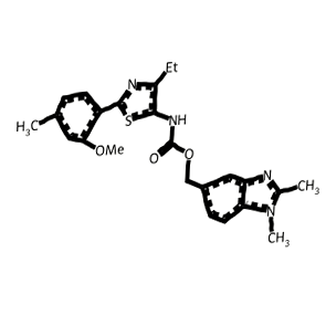 CCc1nc(-c2ccc(C)cc2OC)sc1NC(=O)OCc1ccc2c(c1)nc(C)n2C